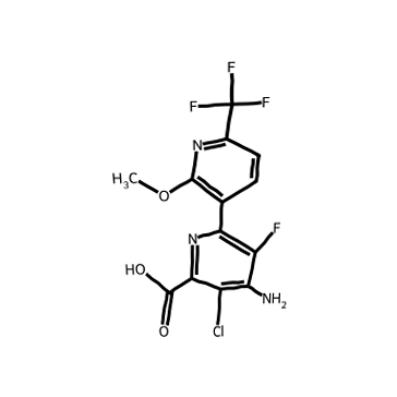 COc1nc(C(F)(F)F)ccc1-c1nc(C(=O)O)c(Cl)c(N)c1F